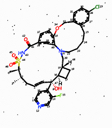 C[C@@H]1[C@@H](C)C/C=C/[C@](O)(c2ccncc2F)[C@@H]2CC[C@H]2CN2CCCCc3cc(Cl)ccc3COc3ccc(cc32)C(=O)NS1(=O)=O